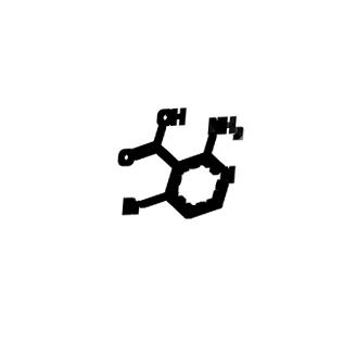 Nc1nccc(Br)c1C(=O)O